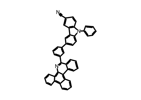 N#Cc1ccc2c(c1)c1cc(-c3cccc(-c4nc5c6ccccc6c6ccccc6c5c5ccccc45)c3)ccc1n2-c1ccccc1